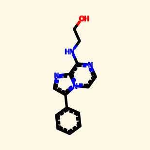 OCCNc1nccn2c(-c3ccccc3)cnc12